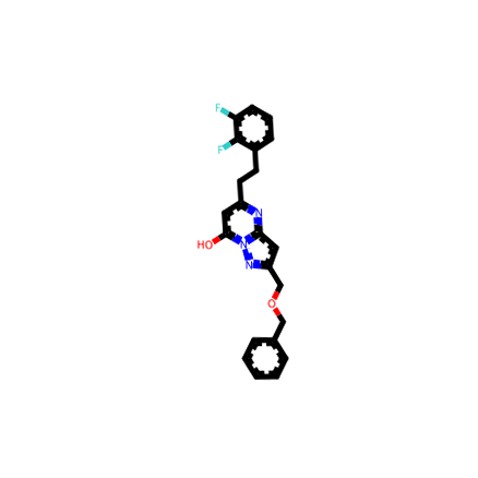 Oc1cc(CCc2cccc(F)c2F)nc2cc(COCc3ccccc3)nn12